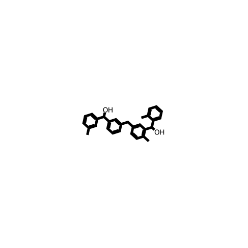 Cc1cccc(C(O)c2cccc(Cc3ccc(C)c(C(O)c4ccccc4C)c3)c2)c1